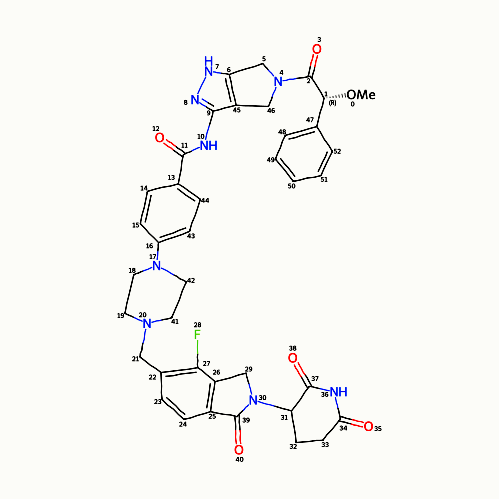 CO[C@@H](C(=O)N1Cc2[nH]nc(NC(=O)c3ccc(N4CCN(Cc5ccc6c(c5F)CN(C5CCC(=O)NC5=O)C6=O)CC4)cc3)c2C1)c1ccccc1